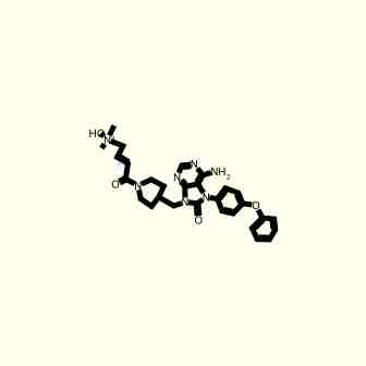 C[N+](C)(O)C/C=C/C(=O)N1CCC(Cn2c(=O)n(-c3ccc(Oc4ccccc4)cc3)c3c(N)ncnc32)CC1